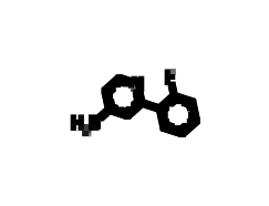 Bc1ccnc(-c2ccccc2F)c1